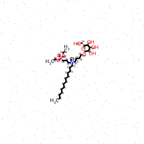 CCCCCCCCCCCCCC[N+](C)(CCCCO[C@@H]1O[C@H](CO)[C@@H](O)[C@H](O)[C@H]1O)CCCP(=O)(OCC)OCC